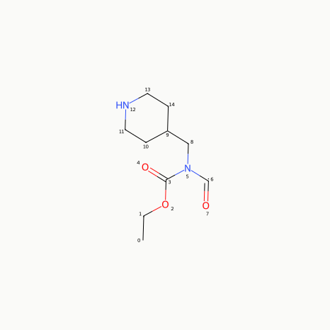 CCOC(=O)N([C]=O)CC1CCNCC1